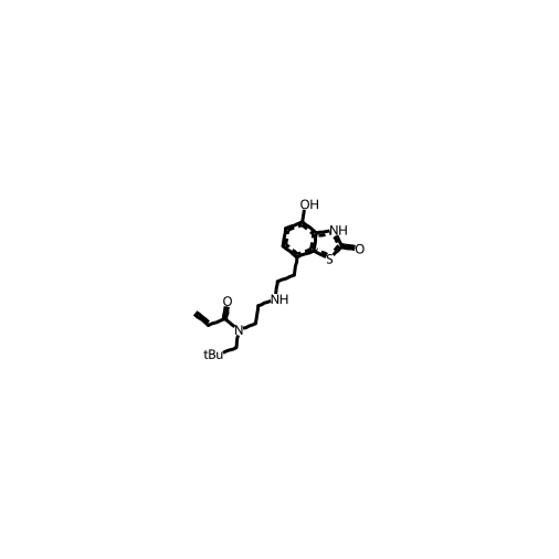 C=CC(=O)N(CCNCCc1ccc(O)c2[nH]c(=O)sc12)CC(C)(C)C